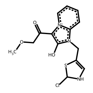 COCC(=O)c1c(O)n(CC2=CNC(Cl)S2)c2cccc[n+]12